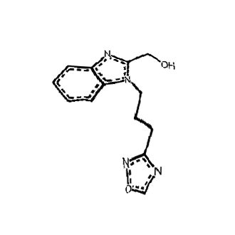 OCc1nc2ccccc2n1CCCc1ncon1